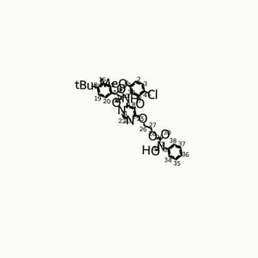 COc1ccc(Cl)c(Oc2c(NS(=O)(=O)c3ccc(C(C)(C)C)cc3)ncnc2OCCOC(=O)N(O)c2ccccc2)c1